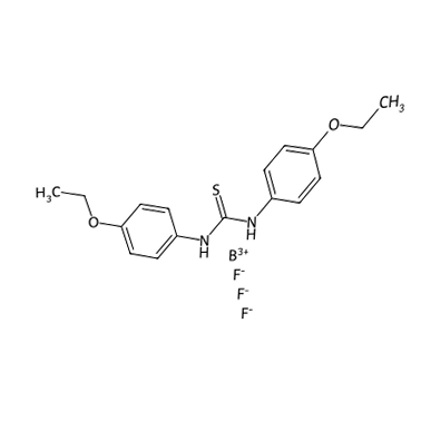 CCOc1ccc(NC(=S)Nc2ccc(OCC)cc2)cc1.[B+3].[F-].[F-].[F-]